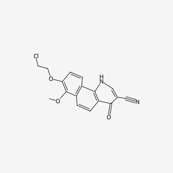 COc1c(OCCCl)ccc2c1ccc1c(=O)c(C#N)c[nH]c12